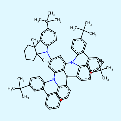 CC(C)(C)c1ccc(N2c3ccccc3B3c4ccc(C(C)(C)C)cc4N(c4ccc(C(C)(C)C)cc4-c4ccccc4)c4cc(N5c6ccc([Si](C)(C)C)cc6C6(C)CCCCC56C)cc2c43)c(-c2ccccc2)c1